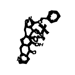 CC(C)(C)[Si](C)(C)OC12C(=O)c3c(OCc4ccccc4)noc3CC1CC1Cc3ncccc3C(=O)C1=C2O